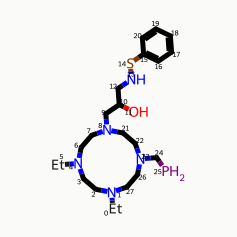 CCN1CCN(CC)CCN(CC(O)CNSc2ccccc2)CCN(CP)CC1